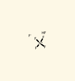 F.F[N+](F)(F)F.[F-]